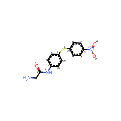 NCC(=O)Nc1ccc(Sc2ccc([N+](=O)[O-])cc2)cc1